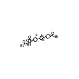 CCC(=O)NC1CN(c2ccc(-c3cnc(N4CCN(C(=O)CBr)CC4)nc3)c(F)c2)C(=O)O1